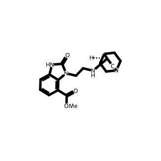 COC(=O)c1cccc2[nH]c(=O)n(CCN[C@@H]3CN4CCC3CC4)c12